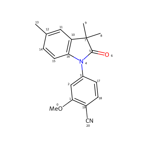 COc1cc(N2C(=O)C(C)(C)c3cc(C)ccc32)ccc1C#N